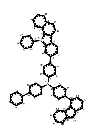 c1ccc(-c2ccc(N(c3ccc(-c4ccc5c6ccc7ccccc7c6n(-c6ccccc6)c5c4)cc3)c3ccc(-c4cccc5sc6ccccc6c45)cc3)cc2)cc1